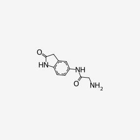 NCC(=O)Nc1ccc2c(c1)CC(=O)N2